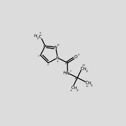 Cc1ccn(C(=O)NC(C)(C)C)n1